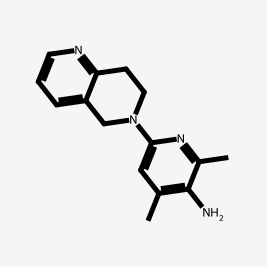 Cc1cc(N2CCc3ncccc3C2)nc(C)c1N